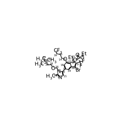 CCOP(=O)(OCC)C(F)(F)c1sc2c(OCCCC(F)(F)F)cc(-c3cnc(C)n3COCC[Si](C)(C)C)cc2c1Br